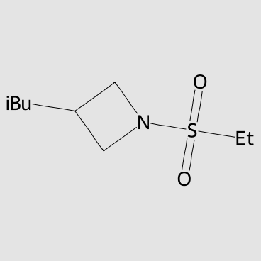 CCC(C)C1CN(S(=O)(=O)CC)C1